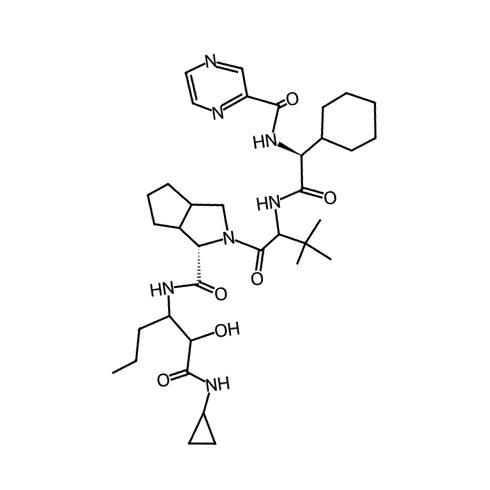 CCCC(NC(=O)[C@@H]1C2CCCC2CN1C(=O)C(NC(=O)[C@@H](NC(=O)c1cnccn1)C1CCCCC1)C(C)(C)C)C(O)C(=O)NC1CC1